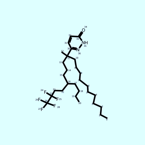 CCCCCCCCCCCC(C)(CCCC(CCCC)CCC(F)(F)C(F)(F)F)c1ccc(=O)[nH]n1